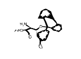 C[C@@H](OC1(c2ccc(Cl)cc2)c2ccccc2-c2ccccc21)[C@H](N)C(=O)O